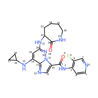 O=C(Nc1ccncc1F)c1cnc2c(NC3CC3)cc(NC3CCCCNC3=O)nn12